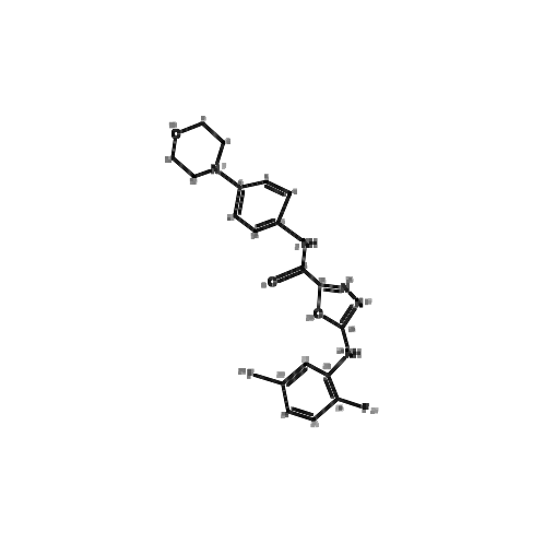 O=C(Nc1ccc(N2CCOCC2)cc1)c1nnc(Nc2cc(F)ccc2F)o1